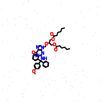 CCCCCC(=O)OCC(COC(=O)CCCCC)OCn1cnc2c(=O)[nH]c(NC(c3ccccc3)(c3ccccc3)c3ccc(OC)cc3)nc21